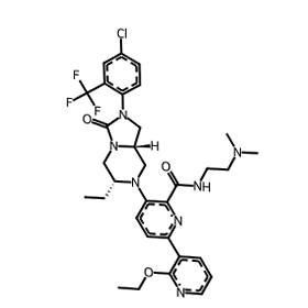 CCOc1ncccc1-c1ccc(N2C[C@H]3CN(c4ccc(Cl)cc4C(F)(F)F)C(=O)N3C[C@H]2CC)c(C(=O)NCCN(C)C)n1